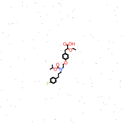 CCOC(Cc1ccc(OCCN(CCCc2ccc(F)cc2)C(=O)OC(C)C)cc1)C(=O)O